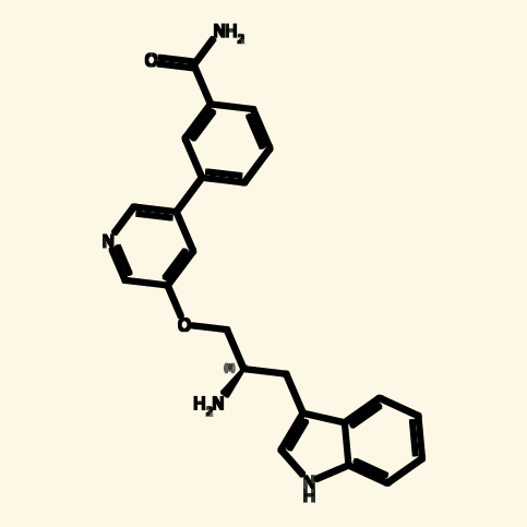 NC(=O)c1cccc(-c2cncc(OC[C@H](N)Cc3c[nH]c4ccccc34)c2)c1